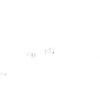 CC/C=C(\O)C1(C(Nc2ccccc2)=C2CC2)CC1